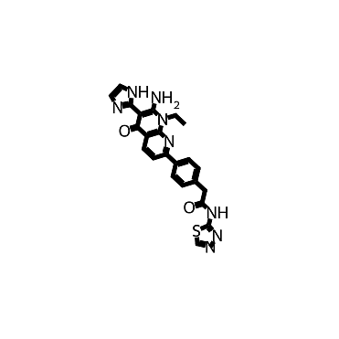 CCn1c(N)c(-c2ncc[nH]2)c(=O)c2ccc(-c3ccc(CC(=O)Nc4nncs4)cc3)nc21